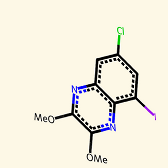 COc1nc2cc(Cl)cc(I)c2nc1OC